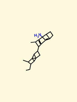 CCC1C(C)C23C4C(C5C6=C(C5C)C5(N)C6=C6CCC65)CC42C13